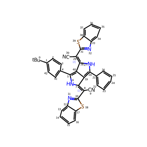 CC(C)(C)c1ccc(-c2[nH]/c(=C(/C#N)c3nc4ccccc4s3)c3c(-c4ccccc4)[nH]/c(=C(/C#N)c4nc5ccccc5s4)c23)cc1